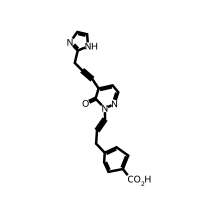 O=C(O)c1ccc(CC#Cn2nccc(C#CCc3ncc[nH]3)c2=O)cc1